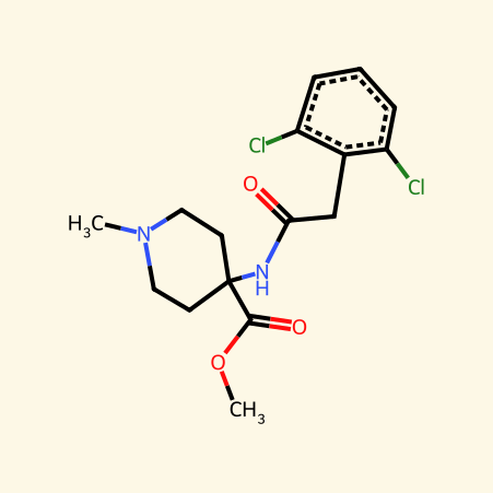 COC(=O)C1(NC(=O)Cc2c(Cl)cccc2Cl)CCN(C)CC1